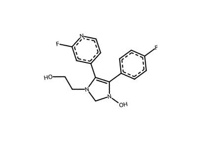 OCCN1CN(O)C(c2ccc(F)cc2)=C1c1ccnc(F)c1